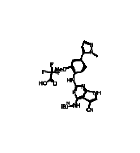 CC[C@H](C)Nc1nc(Nc2ccc(-c3ccnn3C)cc2OC)nc2[nH]cc(C#N)c12.O=C(O)C(F)(F)F